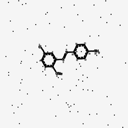 COc1ccc(Cl)cc1N=Nc1ccc(N)cc1